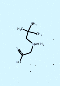 CN(CC(O)=S)CC(C)(C)N